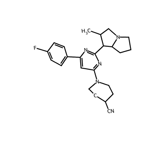 CC1CN2CCCC2C1c1nc(-c2ccc(F)cc2)cc(N2CCC(C#N)CC2)n1